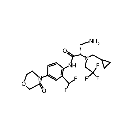 NC[C@@H](C(=O)Nc1ccc(N2CCOCC2=O)cc1C(F)F)N(CC1CC1)CC(F)(F)F